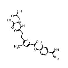 Cc1cc(C(=O)Oc2ccc(C(=N)N)cc2F)sc1CCC(=O)N[C@@H](CC(=O)O)C(=O)O